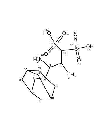 CC(C(N)C12CC3CC(CC(C3)C1)C2)C(S(=O)(=O)O)S(=O)(=O)O